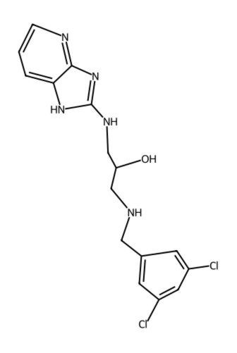 OC(CNCc1cc(Cl)cc(Cl)c1)CNc1nc2ncccc2[nH]1